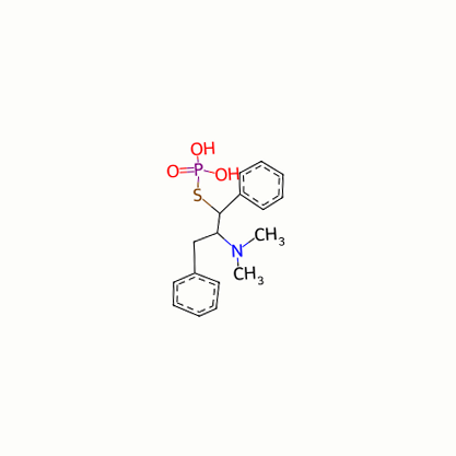 CN(C)C(Cc1ccccc1)C(SP(=O)(O)O)c1ccccc1